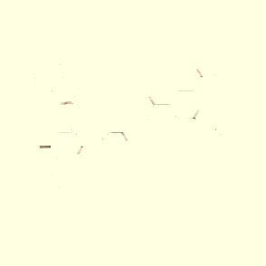 CC(C)[C@H](NC(=O)CNC(=O)[C@H](CCC(N)=O)NC(=O)CN)C(=O)N[C@@H](CC1=CNC2CCCCC12)C(=O)NCCS